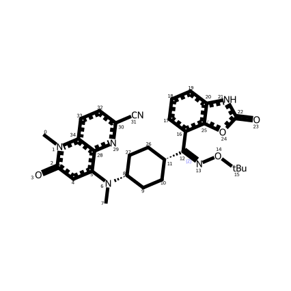 Cn1c(=O)cc(N(C)[C@H]2CC[C@@H](/C(=N/OC(C)(C)C)c3cccc4[nH]c(=O)oc34)CC2)c2nc(C#N)ccc21